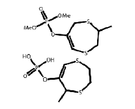 CC1SCCSC=C1OP(=O)(O)O.COP(=O)(OC)OC1=CSCC(C)SC1